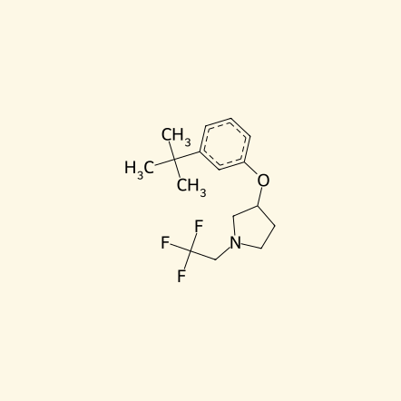 CC(C)(C)c1cccc(OC2CCN(CC(F)(F)F)C2)c1